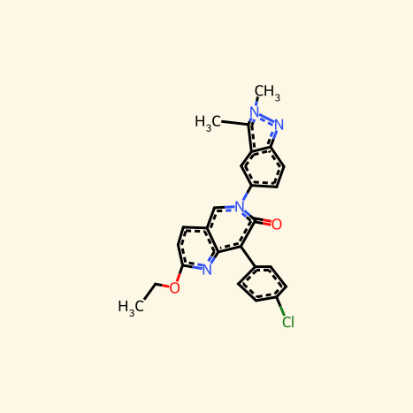 CCOc1ccc2cn(-c3ccc4nn(C)c(C)c4c3)c(=O)c(-c3ccc(Cl)cc3)c2n1